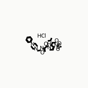 CC(C)[C@@H]1C(=O)N(S(C)(=O)=O)C2=CCN(C(=O)c3coc(CN4CCN(c5ccccc5)CC4)n3)[C@H]21.Cl